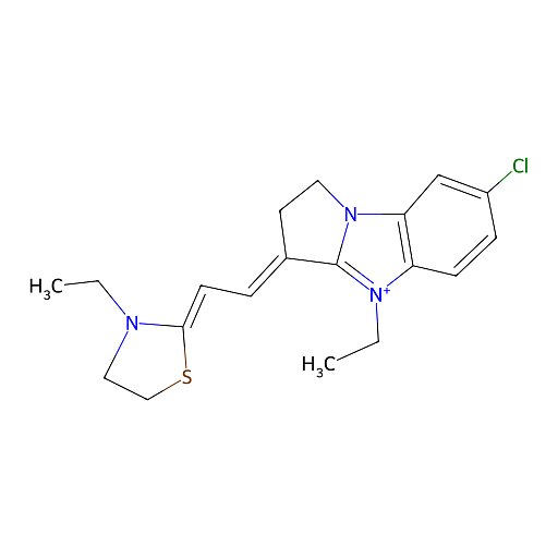 CCN1CCSC1=CC=C1CCn2c1[n+](CC)c1ccc(Cl)cc12